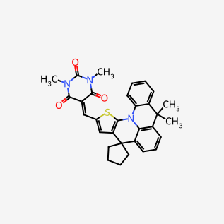 CN1C(=O)C(=Cc2cc3c(s2)N2c4ccccc4C(C)(C)c4cccc(c42)C32CCCC2)C(=O)N(C)C1=O